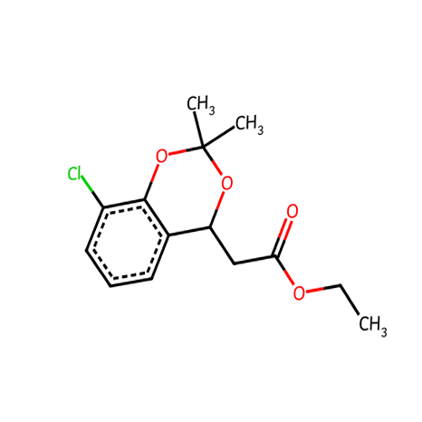 CCOC(=O)CC1OC(C)(C)Oc2c(Cl)cccc21